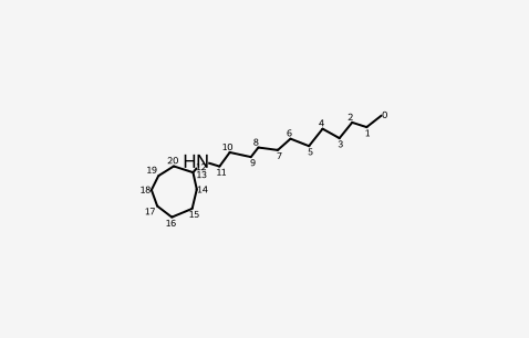 CCCCCCCCCCCCNC1CCCCCCC1